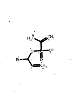 C=CC(CC)OP(=O)(O)C(=C)C